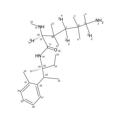 [2H]C(C)(N)C(C)(C)C([2H])([2H])C(C)(C)[C@]([2H])(NC)C(=O)N[C@@](C)(CC)C(C)c1ccccc1C